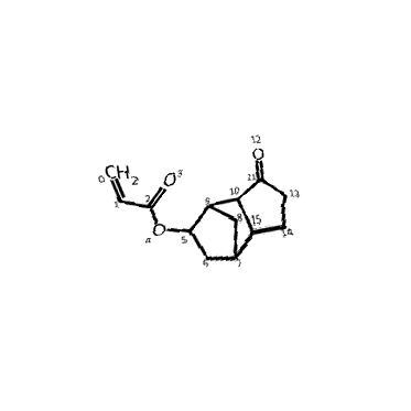 C=CC(=O)OC1CC2CC1C1C(=O)CCC21